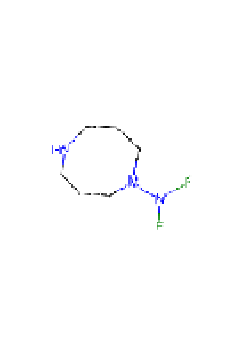 FN(F)N1CCCNCCC1